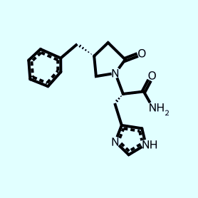 NC(=O)[C@H](Cc1c[nH]cn1)N1C[C@H](Cc2ccccc2)CC1=O